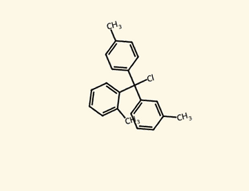 Cc1ccc(C(Cl)(c2cccc(C)c2)c2ccccc2C)cc1